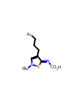 CC(=O)CCCc1cn(C(C)(C)C)s/c1=N\C(=O)O